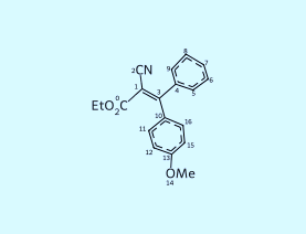 CCOC(=O)C(C#N)=C(c1ccccc1)c1ccc(OC)cc1